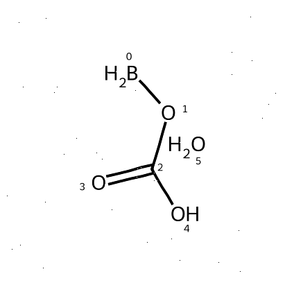 BOC(=O)O.O